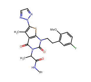 COc1ccc(F)cc1CCn1c(=O)n(C(C)C(=O)NC(C)C)c(=O)c2c(C)c(-n3nccn3)sc21